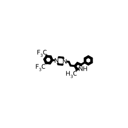 Cc1[nH]c(-c2ccccc2)cc1CCN1CCN(c2cc(C(F)(F)F)cc(C(F)(F)F)c2)CC1